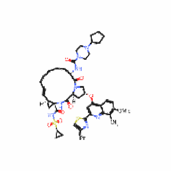 COc1ccc2c(O[C@@H]3C[C@H]4C(=O)N[C@]5(C(=O)NS(=O)(=O)C6CC6)C[C@H]5/C=C/CCCCC[C@H](NC(=O)N5CCN(C6CCCC6)CC5)C(=O)N4C3)cc(-c3nc(C(C)C)cs3)nc2c1C